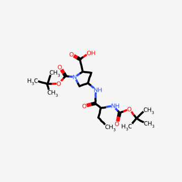 CCC(NC(=O)OC(C)(C)C)C(=O)NC1CC(C(=O)O)N(C(=O)OC(C)(C)C)C1